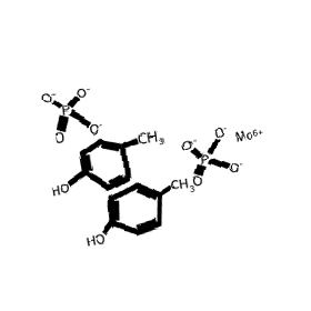 Cc1ccc(O)cc1.Cc1ccc(O)cc1.O=P([O-])([O-])[O-].O=P([O-])([O-])[O-].[Mo+6]